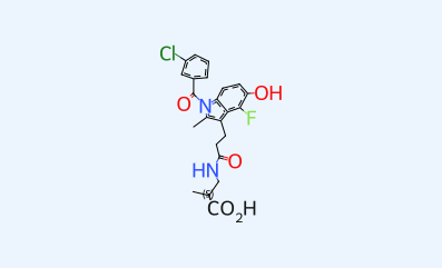 Cc1c(CCC(=O)NC[C@H](C)C(=O)O)c2c(F)c(O)ccc2n1C(=O)c1cccc(Cl)c1